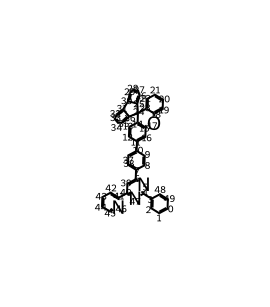 c1ccc(-c2nc(-c3ccc(-c4ccc5c(c4)Oc4ccccc4C54c5ccccc5-c5ccccc54)cc3)cc(-c3ccccn3)n2)cc1